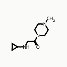 CN1CCN(C(=O)CNC2CC2)CC1